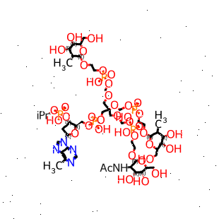 CC(=O)NC1[C@H](OCCOP(=O)(O)OCOCC(COCOP(=O)(O)OCCO[C@@H]2OC(CO)[C@H](O)[C@H](O)C2C)(COP(=O)(O)OC[C@H]2O[C@@H](n3cnc4c(C)ncnc43)C[C@@H]2OP(=O)(O)OC(C)C)OCOP(=O)(O)OCCO[C@@H]2OC(CO)[C@H](O)[C@H](O)C2C)OC(CO)[C@H](O)[C@@H]1O